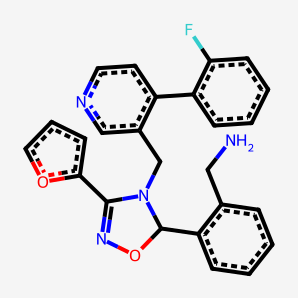 NCc1ccccc1C1ON=C(c2ccco2)N1Cc1cnccc1-c1ccccc1F